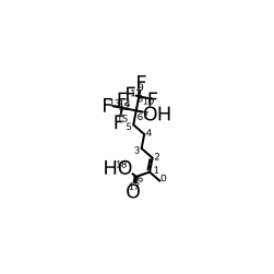 CC(=CCCCC(O)(C(F)(F)F)C(F)(F)F)C(=O)O